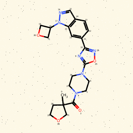 CC1(C(=O)N2CCN(c3nc(-c4ccc5cnn(C6COC6)c5c4)no3)CC2)CCOC1